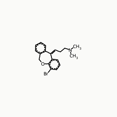 CN(C)CC/C=C1/c2ccccc2COc2c(Br)cccc21